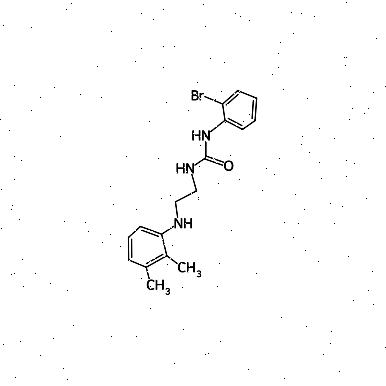 Cc1cccc(NCCNC(=O)Nc2ccccc2Br)c1C